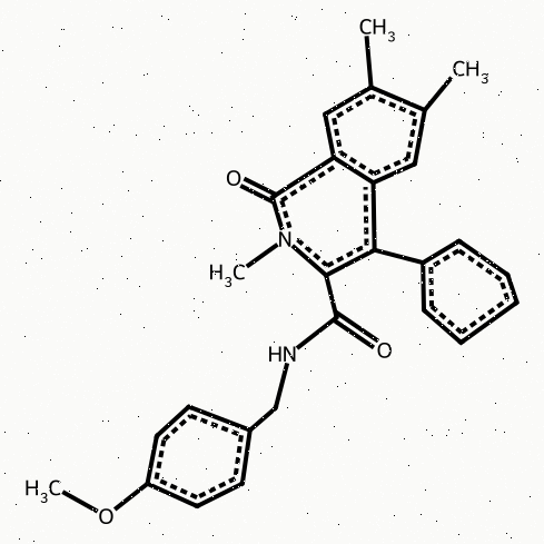 COc1ccc(CNC(=O)c2c(-c3ccccc3)c3cc(C)c(C)cc3c(=O)n2C)cc1